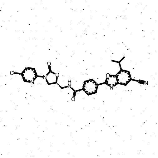 CC(C)c1cc(C#N)cc2nc(-c3ccc(C(=O)NC[C@H]4CN(c5ccc(Cl)cn5)C(=O)O4)cc3)oc12